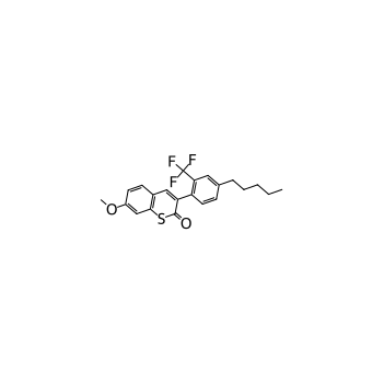 CCCCCc1ccc(-c2cc3ccc(OC)cc3sc2=O)c(C(F)(F)F)c1